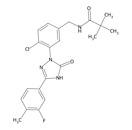 Cc1ccc(-c2nn(-c3cc(CNC(=O)C(C)(C)C)ccc3Cl)c(=O)[nH]2)cc1F